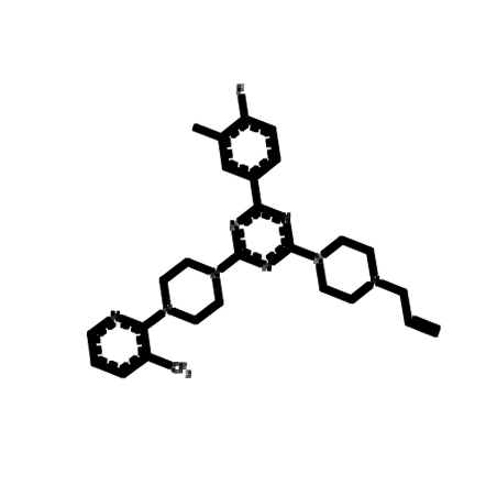 C=CCN1CCN(c2nc(-c3ccc(F)c(C)c3)nc(N3CCN(c4ncccc4C(F)(F)F)CC3)n2)CC1